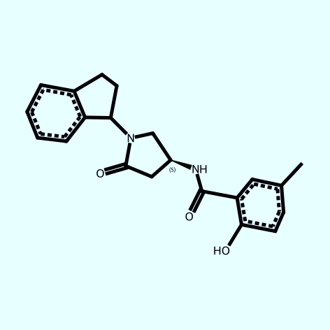 Cc1ccc(O)c(C(=O)N[C@H]2CC(=O)N(C3CCc4ccccc43)C2)c1